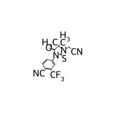 CC1(C)C(=O)N(c2ccc(C#N)c(C(F)(F)F)c2)C(=S)N1CC#N